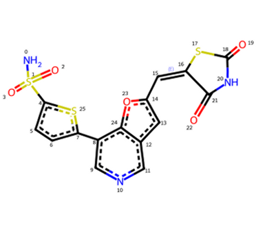 NS(=O)(=O)c1ccc(-c2cncc3cc(/C=C4/SC(=O)NC4=O)oc23)s1